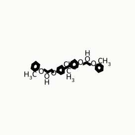 Cc1ccccc1OCC(O)COc1ccc(C(C)(C)c2ccc(OCC(O)COc3ccccc3C)cc2)cc1